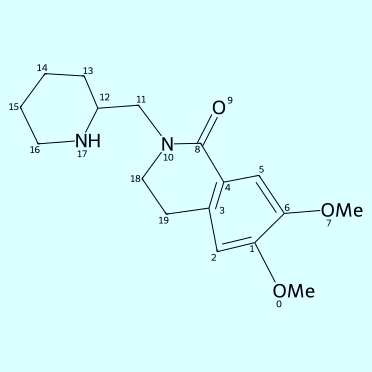 COc1cc2c(cc1OC)C(=O)N(CC1CCCCN1)CC2